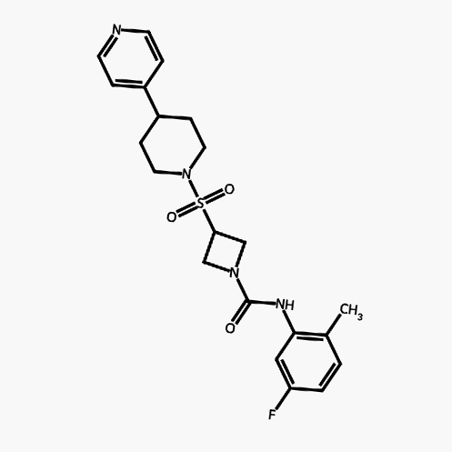 Cc1ccc(F)cc1NC(=O)N1CC(S(=O)(=O)N2CCC(c3ccncc3)CC2)C1